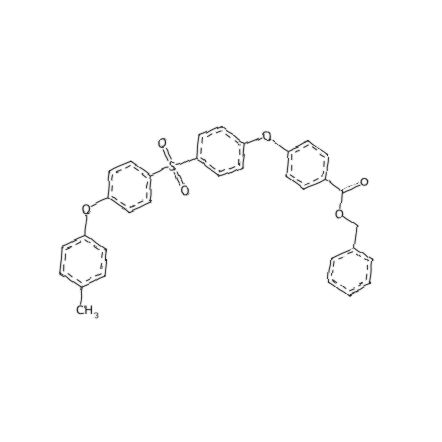 Cc1ccc(Oc2ccc(S(=O)(=O)c3ccc(Oc4ccc(C(=O)OCc5ccccc5)cc4)cc3)cc2)cc1